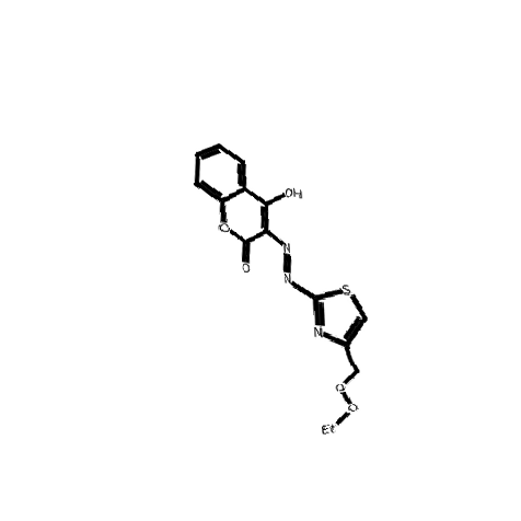 CCOOCc1csc(N=Nc2c(O)c3ccccc3oc2=O)n1